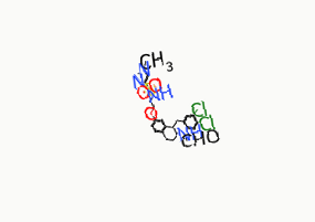 Cn1cnc(S(=O)(=O)NCCOc2ccc3c(c2)C(Cc2ccc(Cl)c(Cl)c2)C(NC=O)CC3)c1